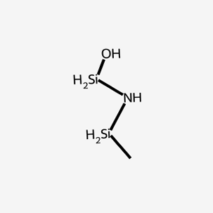 C[SiH2]N[SiH2]O